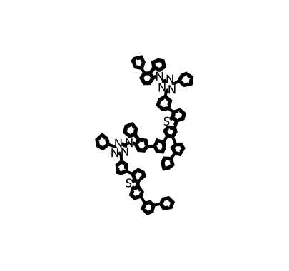 c1ccc(-c2cccc(-c3ccc4sc5c(-c6cccc(-c7nc(-c8ccccc8)nc(-n8c9ccccc9c9cc(-c%10cccc(-c%11cc%12sc%13c(-c%14cccc(-c%15nc(-c%16ccccc%16)nc(-n%16c%17ccccc%17c%17c(-c%18ccccc%18)cccc%17%16)n%15)c%14)cccc%13c%12cc%11-c%11cccc(-c%12ccccc%12)c%11)c%10)ccc98)n7)c6)cccc5c4c3)c2)cc1